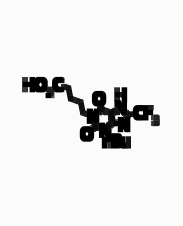 CCCCn1c(=O)n(CCCCC(=O)O)c(=O)c2[nH]c(C(F)(F)F)nc21